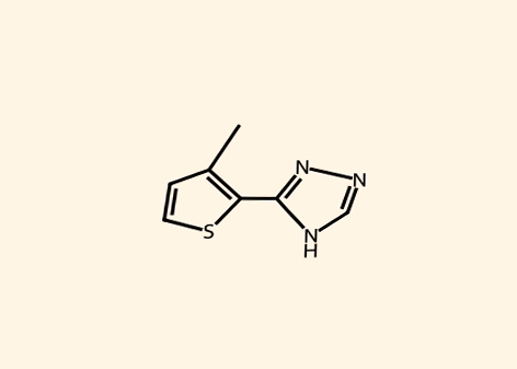 Cc1ccsc1-c1nnc[nH]1